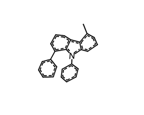 Cc1cccc2c1c1cccc(-c3ccccc3)c1n2-c1ccccc1